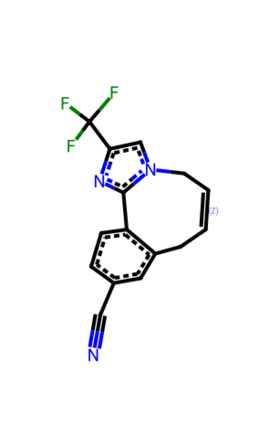 N#Cc1ccc2c(c1)C/C=C\Cn1cc(C(F)(F)F)nc1-2